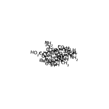 CC[C@H](C)[C@H](NC(=O)[C@H](CCCCN)NC(=O)[C@H](CCC(=O)O)NC(=O)[C@@H](NC(=O)[C@@H](NC(=O)[C@H](C)NC(=O)[C@H](C)NC(=O)[C@H](CC(=O)O)NC(=O)[C@@H](N)C(C)C)C(C)C)[C@@H](C)CC)C(=O)N[C@@H](CCC(=O)O)C(=O)O